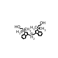 C[Si](C)(CCO)C1C=C(C[SiH2]CC2=CC([Si](C)(C)CCO)c3ccccc32)c2ccccc21